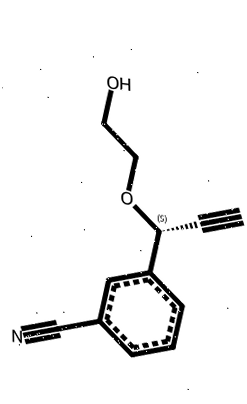 C#C[C@@H](OCCO)c1cccc(C#N)c1